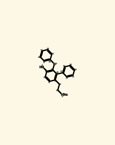 CCCCCCCCCCCCc1ccc(O)c(Oc2ccccc2)c1-c1ccccc1